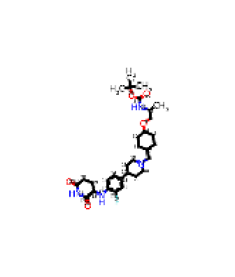 CC(COC1CCC(CN2CCC(c3ccc(NC4CCC(=O)NC4=O)c(F)c3)CC2)CC1)NC(=O)OC(C)(C)C